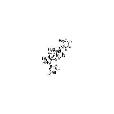 Cc1cc(C2NNC(CCN)=C2CC2(C)CCCN(Cc3c(F)cccc3F)C2)ccn1